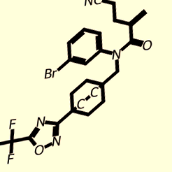 C=C(CCC#N)C(=O)N(CC12CCC(c3noc(C(C)(F)F)n3)(CC1)CC2)c1cccc(Br)c1